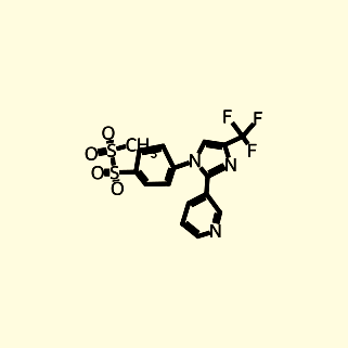 CS(=O)(=O)S(=O)(=O)c1ccc(-n2cc(C(F)(F)F)nc2-c2cccnc2)cc1